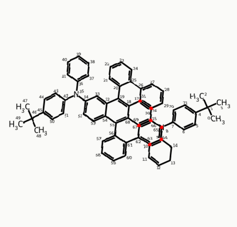 CC(C)(C)c1ccc(N(C2=CC=CCC2)c2ccc3c(-c4ccccc4-c4ccccc4)c4cc(N(c5ccccc5)c5ccc(C(C)(C)C)cc5)ccc4c(-c4ccccc4-c4ccccc4)c3c2)cc1